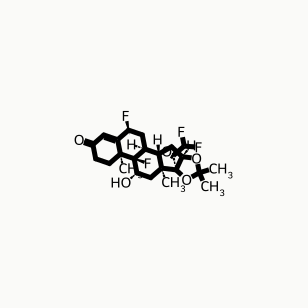 CC1(C)O[C@@H]2C[C@H]3[C@@H]4C[C@H](F)C5=CC(=O)CC[C@]5(C)[C@@]4(F)[C@@H](O)C[C@]3(C)[C@]2(C(=O)C(F)F)O1